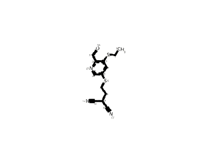 CCSc1cc(SCCC(C#N)C#N)cnc1C=O